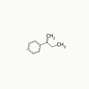 C=C(CC)c1cc[c]cc1